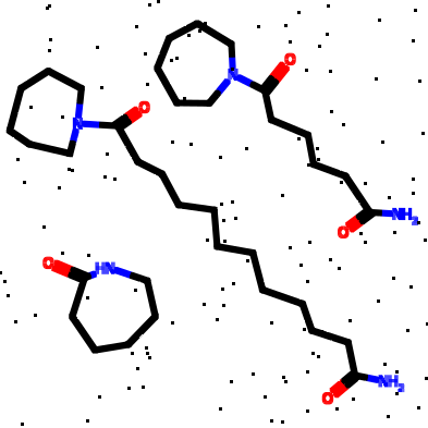 NC(=O)CCCCC(=O)N1CCCCCC1.NC(=O)CCCCCCCCCCC(=O)N1CCCCCC1.O=C1CCCCCN1